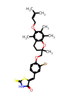 CC(C)=CCOc1c(C)c(C)c2c(c1C)CCC(C)(COc1ccc(/C=C3\SC(=S)NC3=O)cc1Br)O2